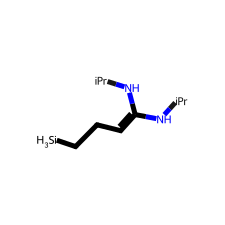 CC(C)NC(=CCC[SiH3])NC(C)C